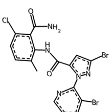 Cc1ccc(Cl)c(C(N)=O)c1NC(=O)c1cc(Br)nn1-c1ncccc1Br